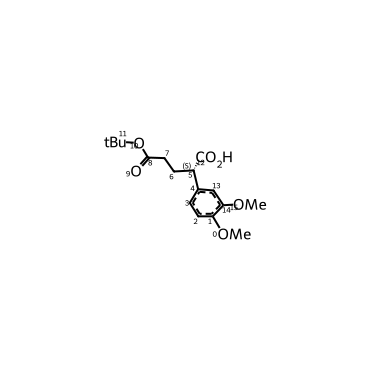 COc1ccc([C@H](CCC(=O)OC(C)(C)C)C(=O)O)cc1OC